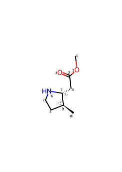 COC(=O)C[C@H]1NCC[C@@H]1C